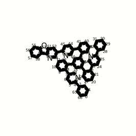 c1ccc(-c2ccc(-c3ccccc3-c3cc(-c4ccccc4-c4ccc(-c5ccccc5)nc4)cc(-c4ccccc4-c4ccc(-c5cnc6c(c5)oc5ccccc56)nc4)c3)cn2)cc1